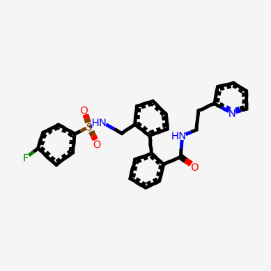 O=C(NCCc1ccccn1)c1ccccc1-c1ccccc1CNS(=O)(=O)c1ccc(F)cc1